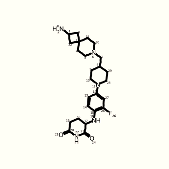 NC1CC2(CCN(CC3CCN(c4ccc(NC5CCC(=O)NC5=O)c(F)c4)CC3)CC2)C1